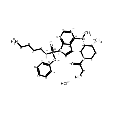 C[C@@H]1CCN(C(=O)CC#N)C[C@@H]1N(C)c1ncnc2c1ccn2P(=O)(NCCCCN)Oc1ccccc1.Cl